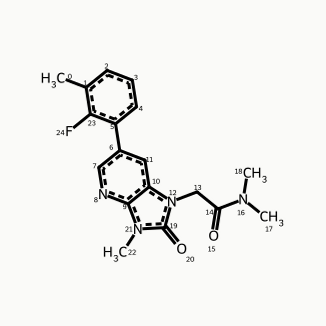 Cc1cccc(-c2cnc3c(c2)n(CC(=O)N(C)C)c(=O)n3C)c1F